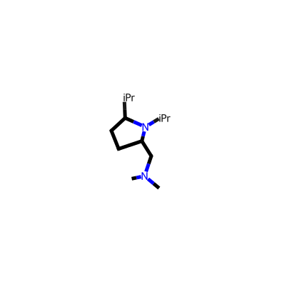 CC(C)C1CCC(CN(C)C)N1C(C)C